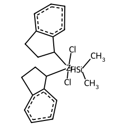 C[SiH](C)[Zr]([Cl])([Cl])([CH]1CCc2ccccc21)[CH]1CCc2ccccc21